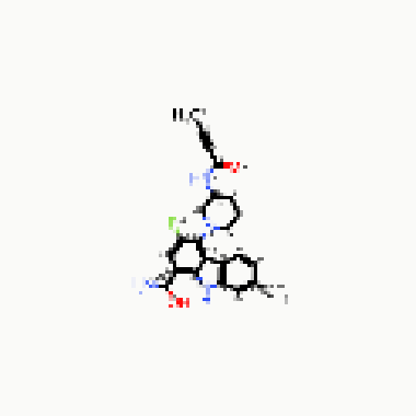 CC#CC(=O)N[C@H]1CCCN(c2c(F)cc(C(N)O)c3[nH]c4cc(C(F)(F)F)ccc4c23)C1